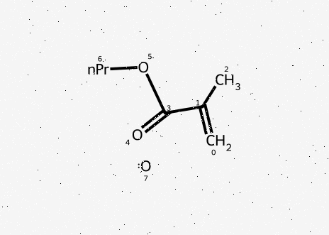 C=C(C)C(=O)OCCC.[O]